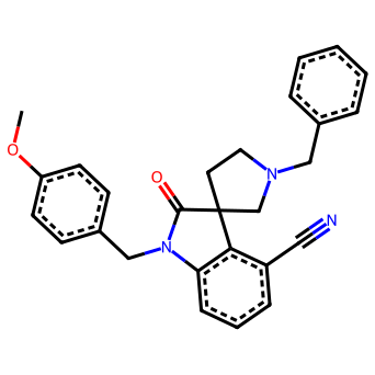 COc1ccc(CN2C(=O)C3(CCN(Cc4ccccc4)C3)c3c(C#N)cccc32)cc1